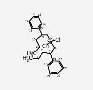 CCCC(C[Si](Cl)(Cl)CC(CCC)c1ccccc1)c1ccccc1